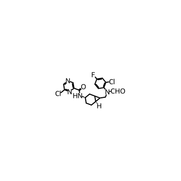 O=CN(CC1C2C[C@H](NC(=O)c3cncc(Cl)n3)CC[C@@H]21)c1ccc(F)cc1Cl